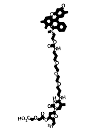 [2H]CC1OC(N2C=C(C)C(NCCCOCCOCCOCCCNC(=O)OCCN(C)C(=O)c3ccccc3-c3c4cc(C)c(=O)cc-4oc4cc(C)c(C)cc34)NC2=O)CC1OC(=O)COCC(=O)O